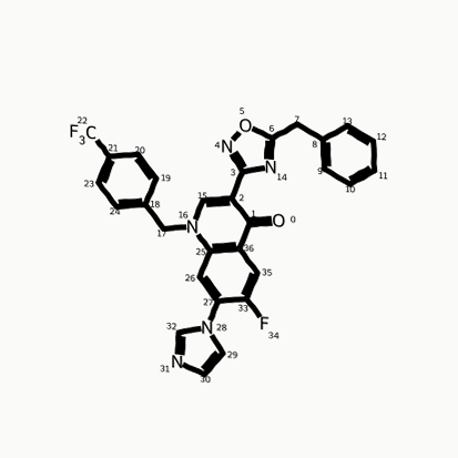 O=c1c(-c2noc(Cc3ccccc3)n2)cn(Cc2ccc(C(F)(F)F)cc2)c2cc(-n3ccnc3)c(F)cc12